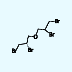 BrCC(Br)COC[C@H](Br)CBr